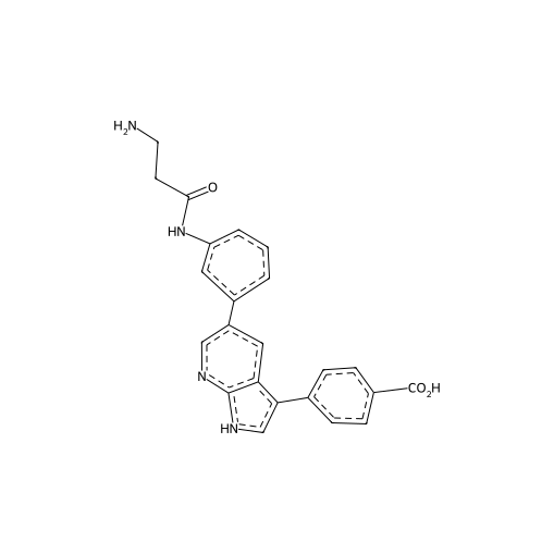 NCCC(=O)Nc1cccc(-c2cnc3[nH]cc(-c4ccc(C(=O)O)cc4)c3c2)c1